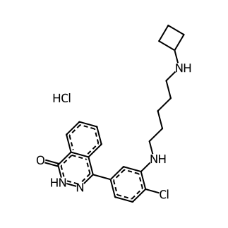 Cl.O=c1[nH]nc(-c2ccc(Cl)c(NCCCCCNC3CCC3)c2)c2ccccc12